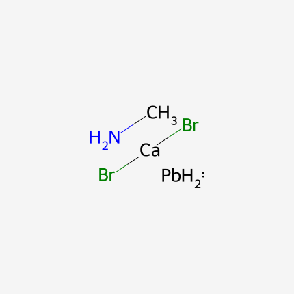 CN.[Br][Ca][Br].[PbH2]